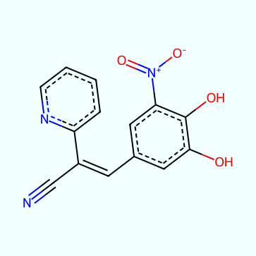 N#C/C(=C/c1cc(O)c(O)c([N+](=O)[O-])c1)c1ccccn1